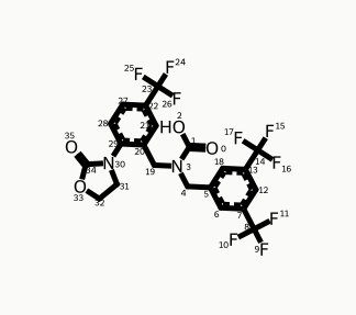 O=C(O)N(Cc1cc(C(F)(F)F)cc(C(F)(F)F)c1)Cc1cc(C(F)(F)F)ccc1N1CCOC1=O